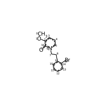 COc1cccn(CCc2ccccc2Br)c1=O